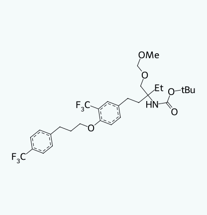 CCC(CCc1ccc(OCCCc2ccc(C(F)(F)F)cc2)c(C(F)(F)F)c1)(COCOC)NC(=O)OC(C)(C)C